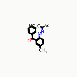 CC(=O)C(/N=N/c1ccc(C)cc1C(=O)c1ccccc1)C(=O)O